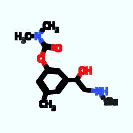 Cc1cc(OC(=O)N(C)C)cc(C(O)CNC(C)(C)C)c1